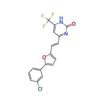 O=c1nc(C=Cc2ccc(-c3cccc(Cl)c3)o2)cc(C(F)(F)F)[nH]1